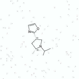 CC(C)N1C[C@@H](c2ncco2)C[C@H]1C